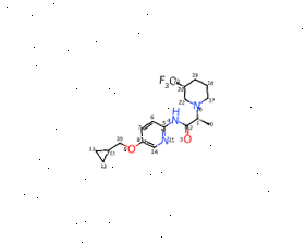 C[C@@H](C(=O)Nc1ccc(OCC2CC2)cn1)N1CCC[C@H](C(F)(F)F)C1